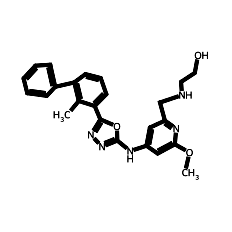 COc1cc(Nc2nnc(-c3cccc(-c4ccccc4)c3C)o2)cc(CNCCO)n1